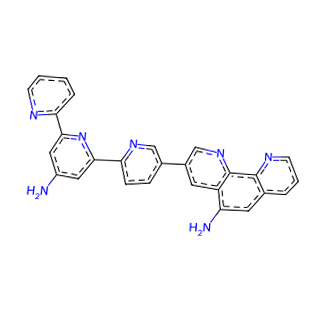 Nc1cc(-c2ccccn2)nc(-c2ccc(-c3cnc4c(c3)c(N)cc3cccnc34)cn2)c1